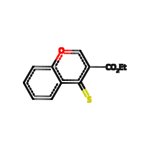 CCOC(=O)c1coc2ccccc2c1=S